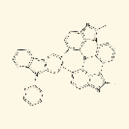 Cc1nc2ccc3c4c2n1-c1cccc2c1B4c1c(ccc4nc(C)n-2c14)-c1cc2c(cc1-3)c1ccccc1n2-c1ccccc1